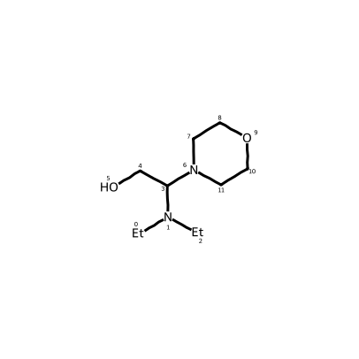 CCN(CC)C(CO)N1CCOCC1